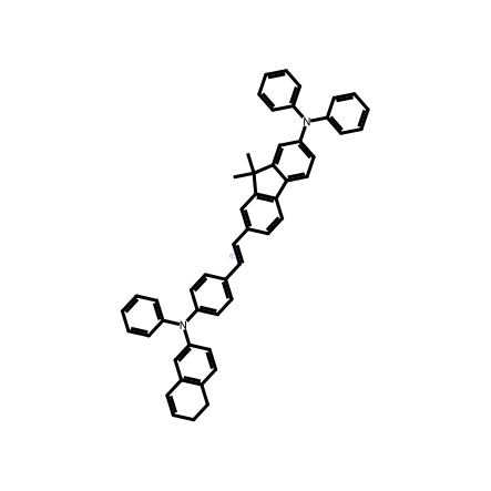 CC1(C)c2cc(/C=C/c3ccc(N(c4ccccc4)c4ccc5c(c4)C=CCC5)cc3)ccc2-c2ccc(N(c3ccccc3)c3ccccc3)cc21